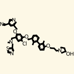 Cc1c(COc2cc(OCc3cncc(C#N)c3)c(CN(C)Cc3cncs3)cc2Cl)cccc1-c1cccc(OCCCN2CCC(O)C2)c1C